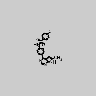 Cc1cc2c(-c3ccc(NS(=O)(=O)c4ccc(Cl)cc4)cc3)ncnc2[nH]1